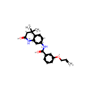 C=CCOc1cccc(C(=O)Nc2ccc3c(c2)NC(=O)CC3(C)C)c1